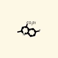 CCOC(=O)c1cc(C)nc2ccc(F)cc12